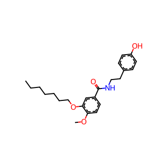 CCCCCCCOc1cc(C(=O)NCCc2ccc(O)cc2)ccc1OC